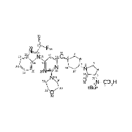 CC(C)(C)N(C(=O)O)[C@H]1CCN([C@H]2CC[C@H](Oc3cc(-n4c(C(F)F)nc5ccccc54)nc(N4CCOCC4)n3)CC2)C1=O